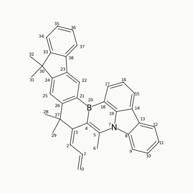 C=C/C=C1\C2=C(C)n3c4ccccc4c4cccc(c43)B2c2cc3c(cc2C1(C)C)C(C)(C)c1ccccc1-3